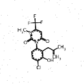 C=C(C)Cc1c(-n2c(=O)cc(C(F)(F)F)n(C)c2=O)ccc(Cl)c1O